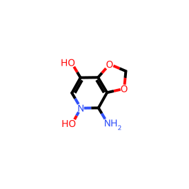 NC1C2=C(OCO2)C(O)=CN1O